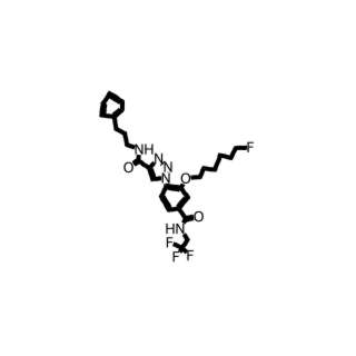 O=C(NCC(F)(F)F)c1ccc(-n2cc(C(=O)NCCCc3ccccc3)nn2)c(OCCCCCCF)c1